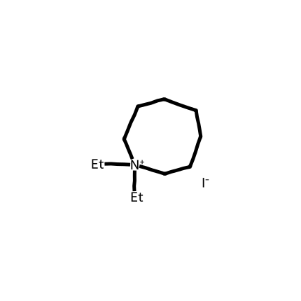 CC[N+]1(CC)CCCCCCC1.[I-]